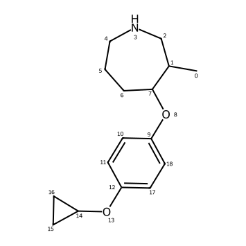 CC1CNCCCC1Oc1ccc(OC2CC2)cc1